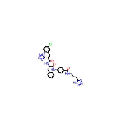 O=C(C=Cc1cc(Cl)ccc1-n1cnnn1)N[C@@H](Cc1ccccc1)C(=O)Nc1ccc(C(=O)NCCCc2nnn[nH]2)cc1